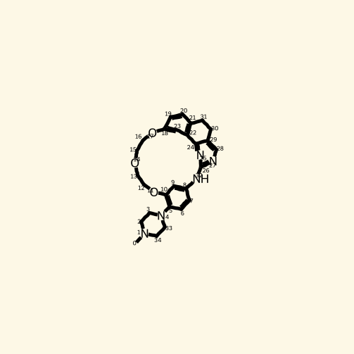 CN1CCN(c2ccc3cc2OCCOCCOc2ccc4c(c2)-c2nc(ncc2CC4)N3)CC1